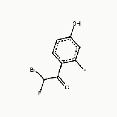 O=C(c1ccc(O)cc1F)C(F)Br